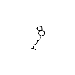 CC(C)NCCOC1CCC2=C(CNC2)C1